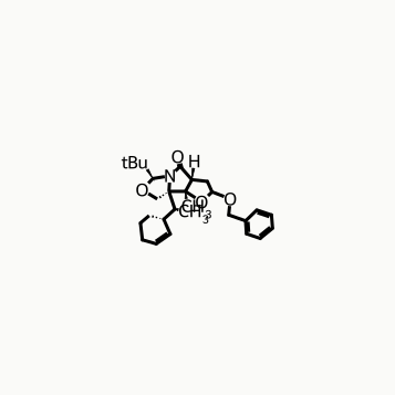 C[C@@H]([C@@H]1C=CCCC1)[C@@]12CO[C@@H](C(C)(C)C)N1C(=O)[C@@H]1CC(OCc3ccccc3)O[C@@]12C